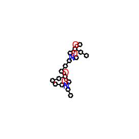 c1ccc(-c2ccc(-c3c4oc5c(N(c6ccccc6)c6ccc(-c7ccc(-c8cccc9c8oc8cc%10c(oc%11c(N(c%12ccc(-c%13ccccc%13)cc%12)c%12ccc(-c%13ccccc%13)cc%12)cccc%11%10)c(-c%10ccc(-c%11ccccc%11)cc%10)c89)cc7)cc6)cccc5c4cc4oc5ccccc5c34)cc2)cc1